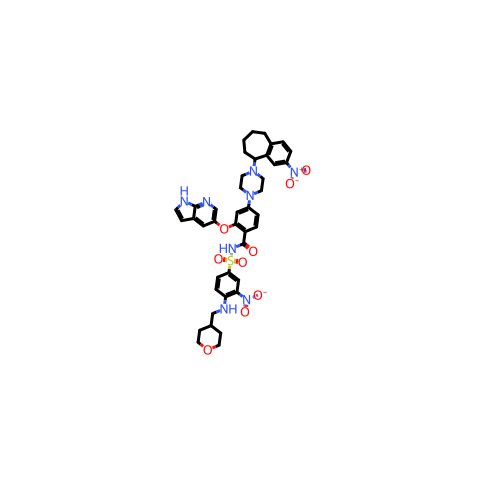 O=C(NS(=O)(=O)c1ccc(NCC2CCOCC2)c([N+](=O)[O-])c1)c1ccc(N2CCN(C3CCCCc4ccc([N+](=O)[O-])cc43)CC2)cc1Oc1cnc2[nH]ccc2c1